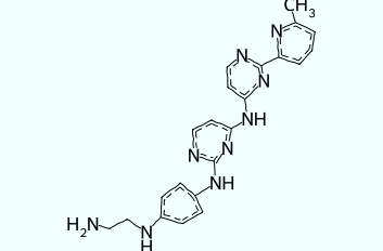 Cc1cccc(-c2nccc(Nc3ccnc(Nc4ccc(NCCN)cc4)n3)n2)n1